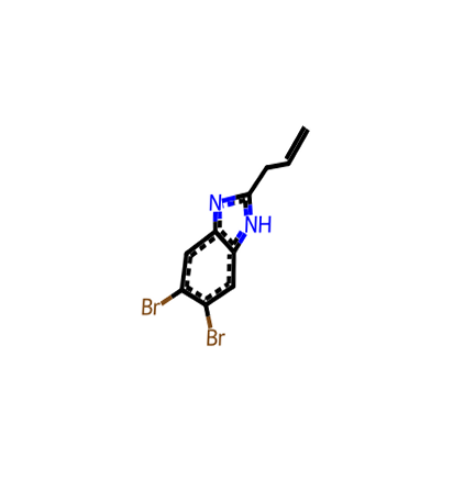 C=CCc1nc2cc(Br)c(Br)cc2[nH]1